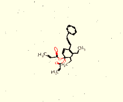 C=CC(=O)OC1(OC(=O)C=C)C=CC(C=Cc2ccccc2)=C(CC)C1CC